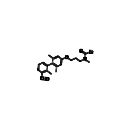 CCC(=O)N(C)CCCOc1cc(C)c(-c2cccc(C=O)c2C)c(C)c1